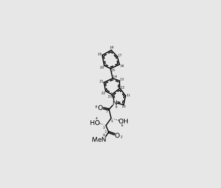 CNC(=O)[C@H](O)[C@@H](O)C(=O)n1ccc2cc(-c3ccccc3)ccc21